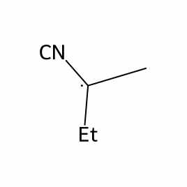 [C-]#[N+][C](C)CC